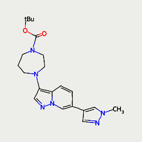 Cn1cc(-c2ccc3c(N4CCCN(C(=O)OC(C)(C)C)CC4)cnn3c2)cn1